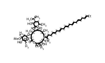 CCC=CCC=CCC=CCC=CCC=CCC=CCCC(=O)N1C[C@H](C)C[C@@](C)(O)[C@H](O[C@@H]2O[C@H](C)C[C@H](N(C)C)[C@H]2O)[C@@H](C)[C@H](O[C@H]2C[C@@](C)(OC)[C@@H](O)[C@H](C)O2)[C@@H](C)C(=O)O[C@H](CC)[C@@](C)(O)[C@H](O)[C@H]1C